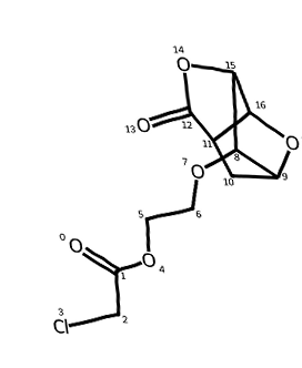 O=C(CCl)OCCOC1C2CC3C(=O)OC1C3O2